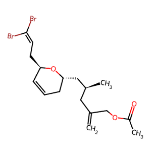 C=C(COC(C)=O)C[C@H](C)C[C@@H]1CC=C[C@@H](CC=C(Br)Br)O1